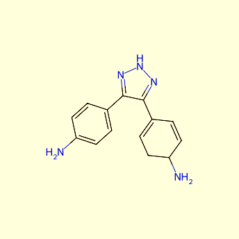 Nc1ccc(-c2n[nH]nc2C2=CCC(N)C=C2)cc1